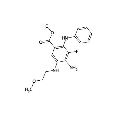 COCCNc1cc(C(=O)OC)c(Nc2ccccc2)c(F)c1N